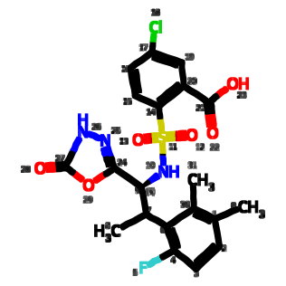 Cc1ccc(F)c(C(C)[C@H](NS(=O)(=O)c2ccc(Cl)cc2C(=O)O)c2n[nH]c(=O)o2)c1C